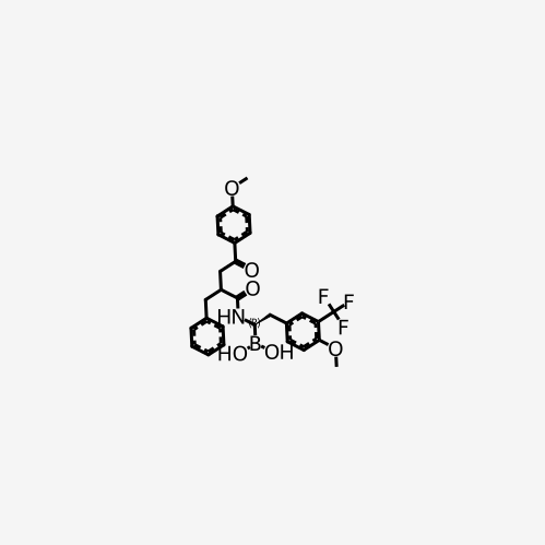 COc1ccc(C(=O)CC(Cc2ccccc2)C(=O)N[C@@H](Cc2ccc(OC)c(C(F)(F)F)c2)B(O)O)cc1